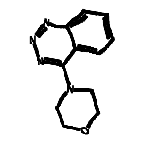 c1ccc2c(N3CCOCC3)nnnc2c1